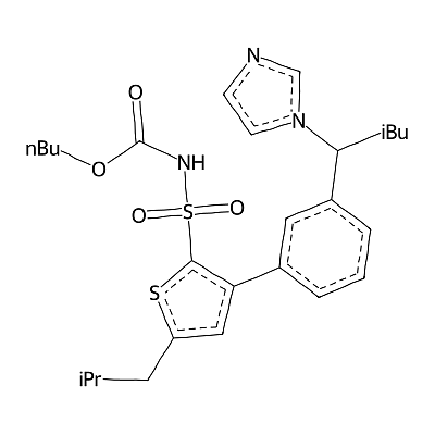 CCCCOC(=O)NS(=O)(=O)c1sc(CC(C)C)cc1-c1cccc(C(C(C)CC)n2ccnc2)c1